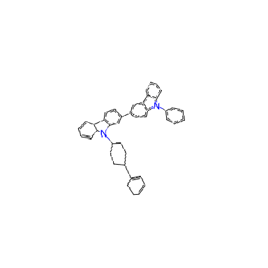 C1=CCCC(C2CCC(N3c4cc(-c5ccc6c(c5)c5ccccc5n6-c5ccccc5)ccc4C4C=CC=CC43)CC2)=C1